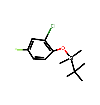 CC(C)(C)[Si](C)(C)Oc1ccc(F)cc1Cl